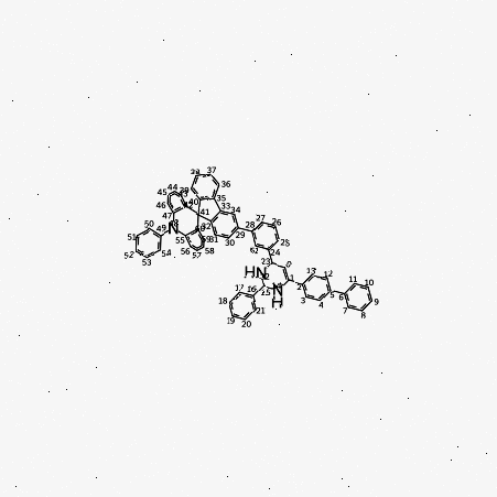 C1=C(c2ccc(-c3ccccc3)cc2)NC(c2ccccc2)NC1c1cccc(-c2ccc3c(c2)-c2ccccc2C32c3ccccc3N(c3ccccc3)c3ccccc32)c1